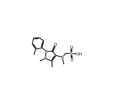 Cc1ccccc1-n1c(=O)c(N(C)CS(=O)(=O)O)c(C)n1C